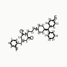 O=C1CN(Cc2ccccc2F)CC(=O)N1CCCN1CCC(=C(c2ccccc2)c2ccc(F)cc2)CC1